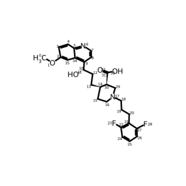 COc1ccc2nccc([C@@H](O)CC[C@@H]3CCN(CCCc4c(F)cccc4F)C[C@@H]3C(=O)O)c2c1